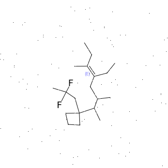 CC/C(C)=C(\CC)CC(C)C(C)C1(CC(C)(F)F)CCC1